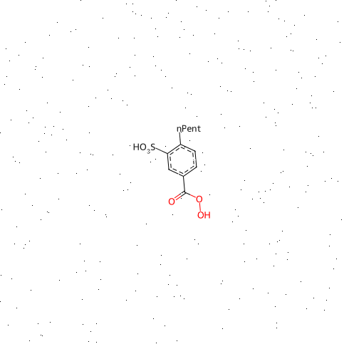 CCCCCc1ccc(C(=O)OO)cc1S(=O)(=O)O